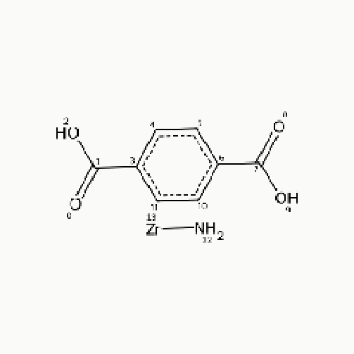 O=C(O)c1ccc(C(=O)O)cc1.[NH2][Zr]